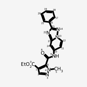 CCOC(=O)c1cnn(C)c1C(=O)Nc1ccn2nc(-c3ccccc3)nc2c1